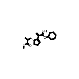 C=C(C(=N)OC1CCCCC1)C1=CCC[C@@H]1CC(C)C(=O)OC